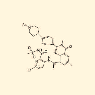 CC(=O)N1CCC(c2ccc(-c3nc4c([C@@H](C)Nc5ccc(Cl)nc5C(=O)NS(C)(=O)=O)cc(C)cc4c(=O)n3C)cc2)CC1